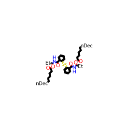 CCCCCCCCCCCCCCCC(=O)OC(CC)NC(=O)c1ccccc1SSc1ccccc1C(=O)NC(CC)OC(=O)CCCCCCCCCCCCCCC